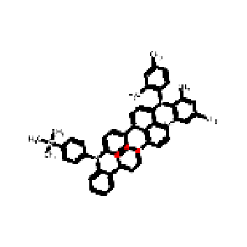 Cc1ccc(B(c2c(C)cc(C)cc2C)c2ccc3c4c(cccc24)Oc2cc(N(c4ccc([Si](C)(C)C)cc4)c4ccccc4-c4ccccc4)ccc2-3)c(C)c1